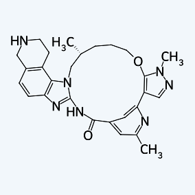 Cc1cc2cc(n1)-c1cnn(C)c1OCCC[C@@H](C)Cn1c(nc3ccc4c(c31)CCNC4)NC2=O